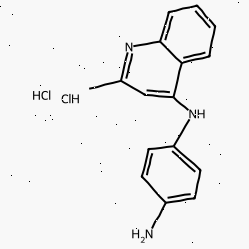 Cc1cc(Nc2ccc(N)cc2)c2ccccc2n1.Cl.Cl